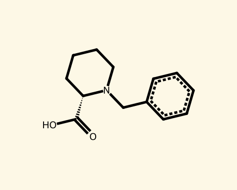 O=C(O)[C@@H]1CCCCN1Cc1ccccc1